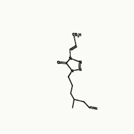 C=CCC(C)CCCn1nnn(/C=C/C(=O)O)c1=O